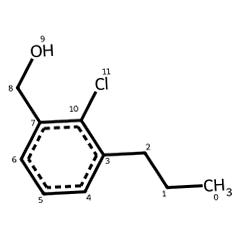 CCCc1cccc(CO)c1Cl